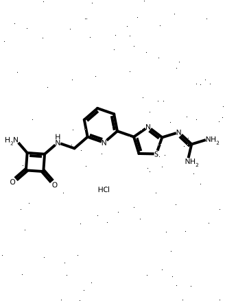 Cl.NC(N)=Nc1nc(-c2cccc(CNc3c(N)c(=O)c3=O)n2)cs1